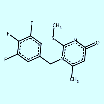 CSc1nc(=O)cc(C)n1Cc1cc(F)c(F)c(F)c1